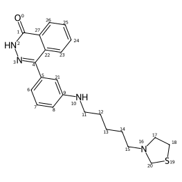 O=c1[nH]nc(-c2cccc(NCCCCCN3CCSC3)c2)c2ccccc12